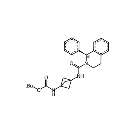 CC(C)(C)OC(=O)NC12CC(NC(=O)N3CCc4ccccc4[C@@H]3c3ccccc3)(C1)C2